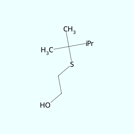 CC(C)C(C)(C)SCCO